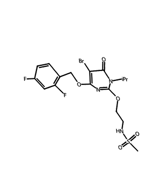 CC(C)n1c(OCCNS(C)(=O)=O)nc(OCc2ccc(F)cc2F)c(Br)c1=O